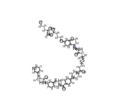 CC1C(C(=O)Nc2ccc(CNC(=O)c3ccc(N4CCN(C(=O)CCSSC(C)(C)CC(=O)N/N=C5\CCOc6cc(OCCCC(=O)ON(C)C(=O)CCC=O)ccc65)CC4)cc3)c(F)c2)C1c1cccnc1